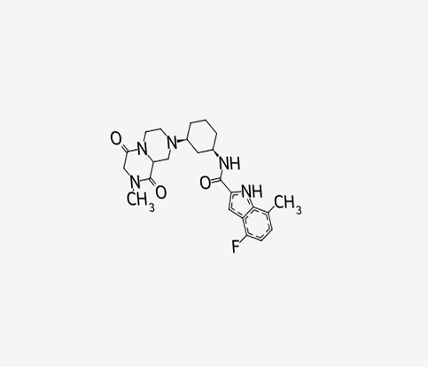 Cc1ccc(F)c2cc(C(=O)N[C@@H]3CCC[C@H](N4CCN5C(=O)CN(C)C(=O)C5C4)C3)[nH]c12